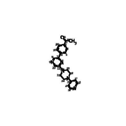 CC(=O)c1ccc(-c2cncc(N3CCN(c4ccncc4)CC3)n2)cc1